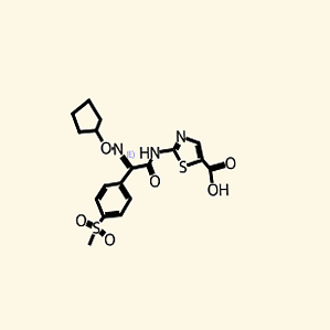 CS(=O)(=O)c1ccc(/C(=N\OC2CCCC2)C(=O)Nc2ncc(C(=O)O)s2)cc1